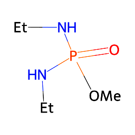 CCNP(=O)(NCC)OC